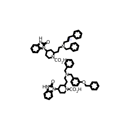 O=C(O)N1CCC(n2c(=O)[nH]c3ccccc32)CC1CCN(C/C=C/c1ccccc1)Cc1ccccc1.O=C(O)N1CCC(n2c(=O)[nH]c3ccccc32)CC1CCN(Cc1ccccc1)Cc1cccc(OCc2ccccc2)c1